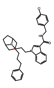 O=C(NCc1ccc(Cl)cc1)c1cn(CCCN2C3CCC2CC(CCCc2ccccc2)C3)c2ccccc12